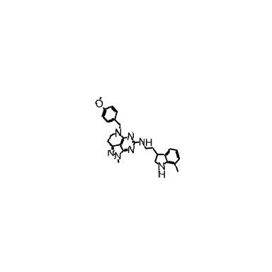 COc1ccc(CN2CCc3nn(C)c4nc(NCCC5CNc6c(C)cccc65)nc2c34)cc1